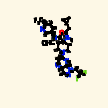 CN(CCC1CC1)C1(C(=O)N(C=O)c2ccc(C(F)(F)F)nc2)CCN(c2cnc3cnn(CC(F)F)c3n2)CC1